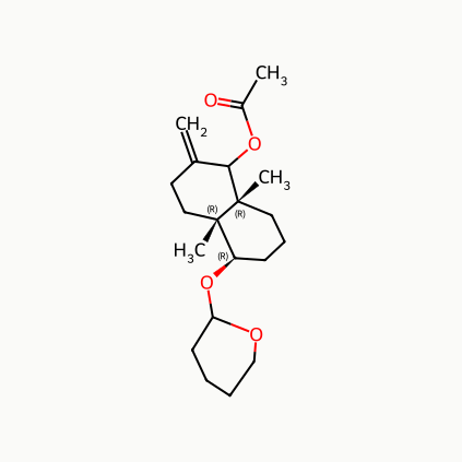 C=C1CC[C@@]2(C)[C@H](OC3CCCCO3)CCC[C@@]2(C)C1OC(C)=O